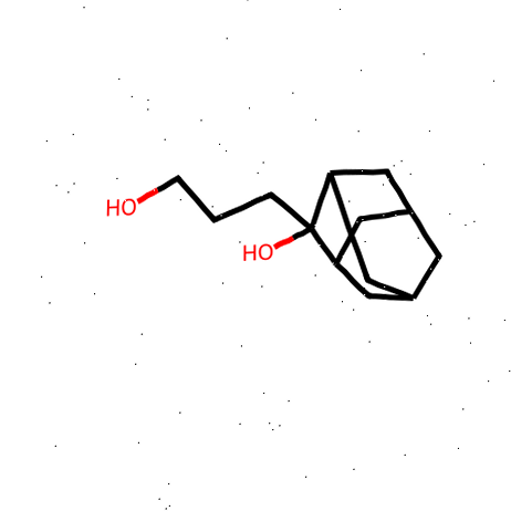 OCCCC1(O)C2CC3CC(C2)CC1C3